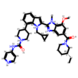 CC[C@@H]1CCCN(C(=O)c2cc(OC)c3c(c2)nc(-c2cc4cccc(C5CCN(C(=O)Nc6ccncc6)CC5)c4n2CC2CC2)n3C)C1